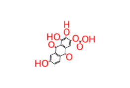 O=C(O)Oc1cc2c(c(O)c1O)C(=O)c1cc(O)ccc1C2=O